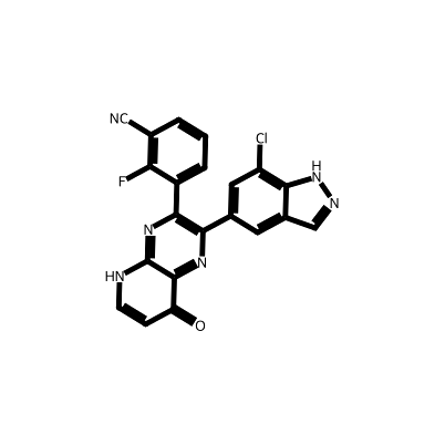 N#Cc1cccc(-c2nc3[nH]ccc(=O)c3nc2-c2cc(Cl)c3[nH]ncc3c2)c1F